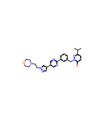 CC(C)c1ccc(=O)n(Cc2cccc(-c3ncc(-c4cnn(CCN5CCOCC5)c4)cn3)c2)n1